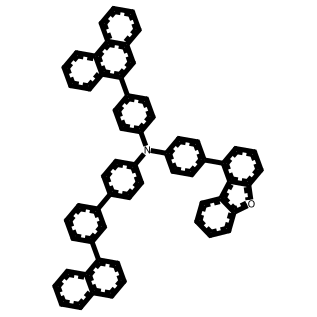 c1cc(-c2ccc(N(c3ccc(-c4cc5ccccc5c5ccccc45)cc3)c3ccc(-c4cccc5oc6ccccc6c45)cc3)cc2)cc(-c2cccc3ccccc23)c1